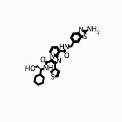 Nc1nc2ccc(CNC(=O)c3cccn4c(C(=O)N[C@H](CO)C5CCCCC5)c(C5C=CSC5)nc34)cc2s1